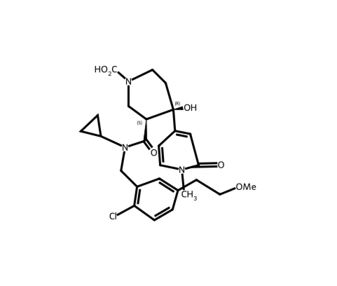 COCCc1ccc(Cl)c(CN(C(=O)[C@H]2CN(C(=O)O)CC[C@]2(O)c2ccn(C)c(=O)c2)C2CC2)c1